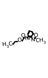 CCCCOCC(=O)Nc1cccc2oc(C)nc12